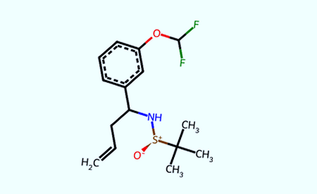 C=CCC(N[S@+]([O-])C(C)(C)C)c1cccc(OC(F)F)c1